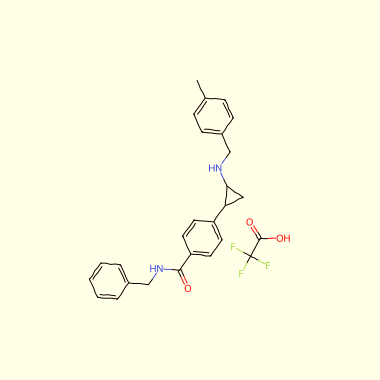 Cc1ccc(CNC2CC2c2ccc(C(=O)NCc3ccccc3)cc2)cc1.O=C(O)C(F)(F)F